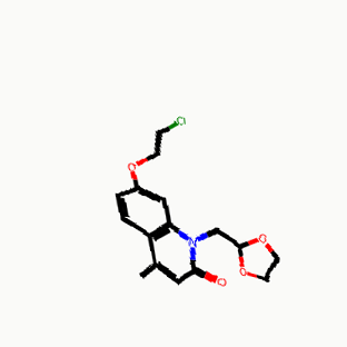 Cc1cc(=O)n(CC2OCCO2)c2cc(OCCCl)ccc12